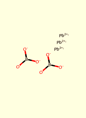 [O-]B([O-])[O-].[O-]B([O-])[O-].[Pb+2].[Pb+2].[Pb+2]